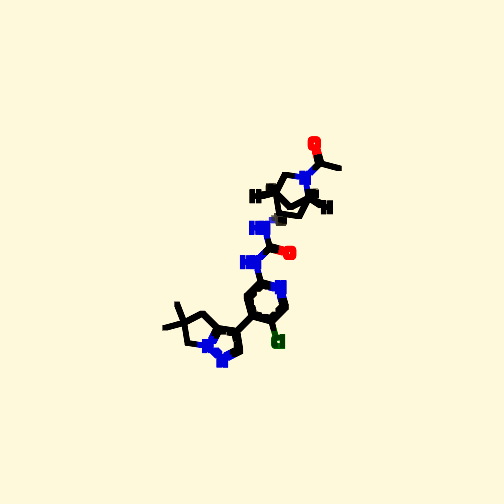 CC(=O)N1C[C@@H]2C[C@H]1C[C@@H]2NC(=O)Nc1cc(-c2cnn3c2CC(C)(C)C3)c(Cl)cn1